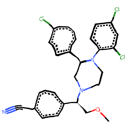 COC[C@@H](c1ccc(C#N)cc1)N1CCN(c2ccc(Cl)cc2Cl)[C@H](c2ccc(Cl)cc2)C1